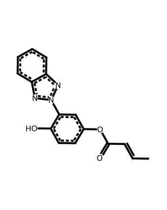 CC=CC(=O)Oc1ccc(O)c(-n2nc3ccccc3n2)c1